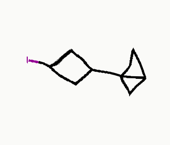 IC1CC(C23CC2C3)C1